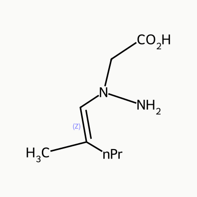 CCC/C(C)=C\N(N)CC(=O)O